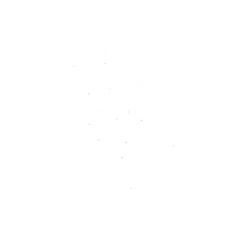 O=C(O)c1cc(C(F)(F)F)cc(C2=C(c3cc(Cl)ccc3OCc3c(F)cc(F)cc3F)CCC2)n1